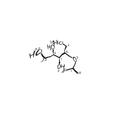 CC(F)O[C@H](CO)[C@@H](O)[C@H](O)CO